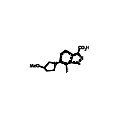 COC1CCN(c2ccc3c(C(=O)O)nsc3c2F)C1